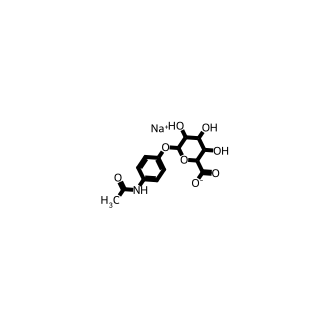 CC(=O)Nc1ccc(OC2OC(C(=O)[O-])C(O)C(O)C2O)cc1.[Na+]